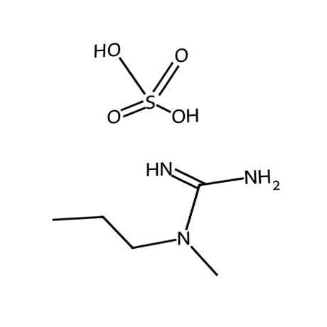 CCCN(C)C(=N)N.O=S(=O)(O)O